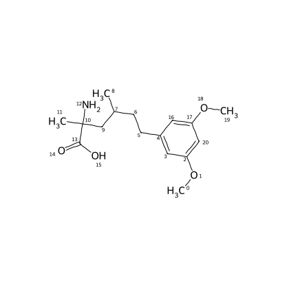 COc1cc(CCC(C)CC(C)(N)C(=O)O)cc(OC)c1